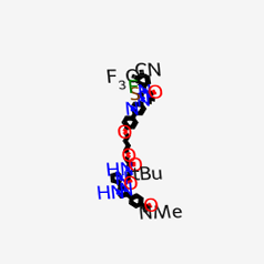 CNC(=O)c1ccc(-c2c[nH]c(C3CCCN3C(=O)[C@@H](NC(=O)COCCCCOc3ccc(-c4ccc(N5C(=S)N(c6ccc(C#N)c(C(F)(F)F)c6F)C(=O)C5(C)C)cn4)cc3)C(C)(C)C)n2)cc1